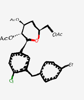 CCc1ccc(Cc2cc([C@@H]3O[C@H](COC(C)=O)C[C@H](OC(C)=O)[C@H]3OC(C)=O)ccc2Cl)cc1